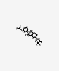 C=C1OB(c2cnc(Cl)c(NS(=O)(=O)c3cccc(OC(F)F)c3)c2)OC1(C)C